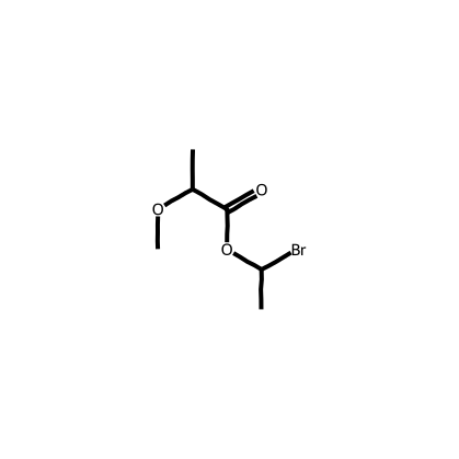 COC(C)C(=O)OC(C)Br